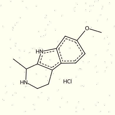 COc1ccc2c3c([nH]c2c1)C(C)NCC3.Cl